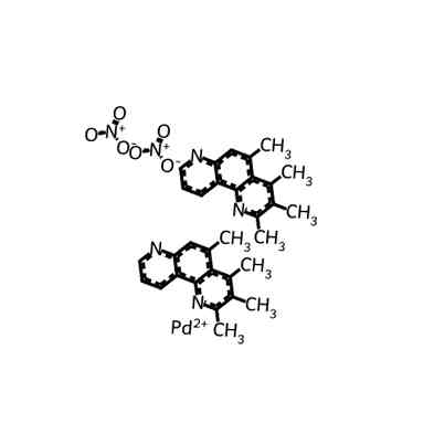 Cc1nc2c(c(C)cc3ncccc32)c(C)c1C.Cc1nc2c(c(C)cc3ncccc32)c(C)c1C.O=[N+]([O-])[O-].O=[N+]([O-])[O-].[Pd+2]